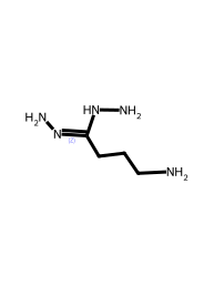 NCCC/C(=N/N)NN